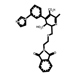 CC1=NC(COCCN2C(=O)c3ccccc3C2=O)C(C(=O)O)C(c2cccc(-n3ccnc3)c2)=C1C(=O)O